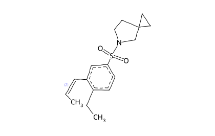 C/C=C\c1cc(S(=O)(=O)N2CCC3(CC3)C2)ccc1CC